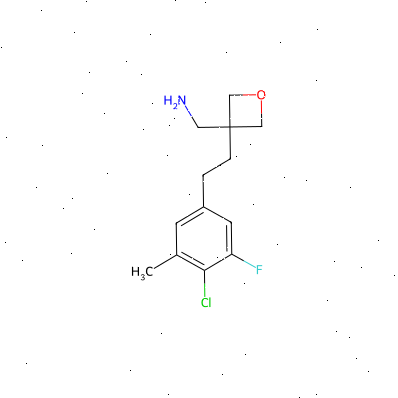 Cc1cc(CCC2(CN)COC2)cc(F)c1Cl